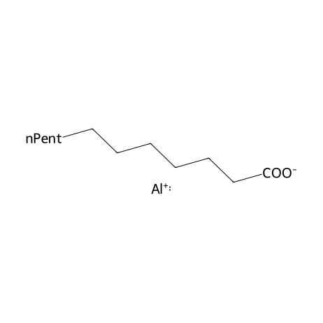 CCCCCCCCCCCC(=O)[O-].[Al+]